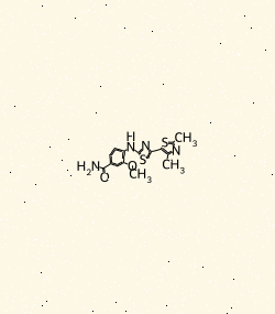 COc1cc(C(N)=O)ccc1Nc1nc(-c2sc(C)nc2C)cs1